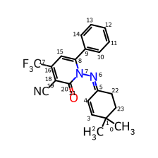 CC1(C)C=C/C(=N\n2c(-c3ccccc3)cc(C(F)(F)F)c(C#N)c2=O)CC1